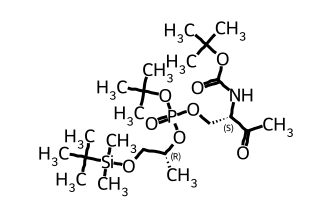 CC(=O)[C@H](COP(=O)(O[C@H](C)CO[Si](C)(C)C(C)(C)C)OC(C)(C)C)NC(=O)OC(C)(C)C